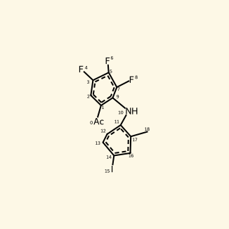 CC(=O)c1cc(F)c(F)c(F)c1Nc1ccc(I)cc1C